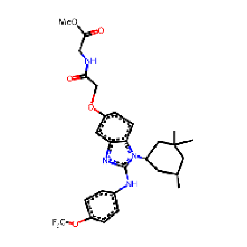 COC(=O)CNC(=O)COc1ccc2c(c1)nc(Nc1ccc(OC(F)(F)F)cc1)n2[C@@H]1C[C@H](C)CC(C)(C)C1